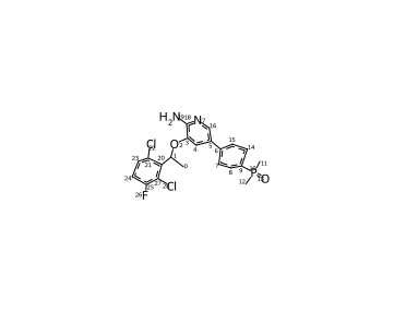 CC(Oc1cc(-c2ccc(P(C)(C)=O)cc2)cnc1N)c1c(Cl)ccc(F)c1Cl